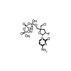 Nc1ccn([C@@H]2O[C@](CCl)(COP(=O)(O)OP(=O)(O)OP(=O)(O)O)C[C@H]2F)c(=O)n1